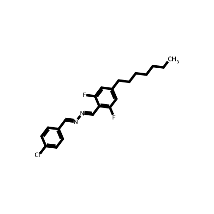 CCCCCCCc1cc(F)c(C=NN=Cc2ccc(Cl)cc2)c(F)c1